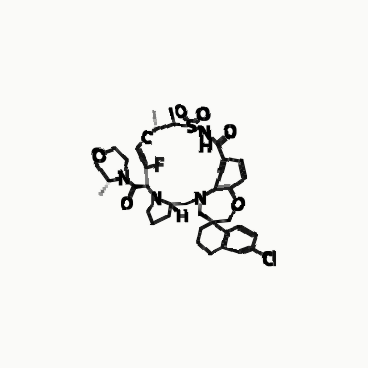 C[C@@H]1COCCN1C(=O)[C@H]1/C(F)=C/C[C@H](C)[C@@H](C)S(=O)(=O)NC(=O)c2ccc3c(c2)N(C[C@@H]2CCCN21)C[C@@]1(CCCc2cc(Cl)ccc21)CO3